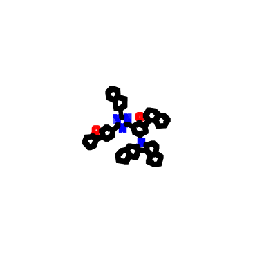 c1ccc2cc(-c3nc(-c4ccc5c(c4)oc4ccccc45)nc(-c4cc(-n5c6cc7ccccc7cc6c6c7ccccc7ccc65)cc5c4oc4ccc6ccccc6c45)n3)ccc2c1